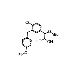 CCOc1ccc(Cc2cc(C(OC(C)CC)C(O)O)ccc2Cl)cc1